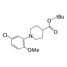 COc1ccc(Cl)cc1N1CCC(C(=O)OC(C)(C)C)CC1